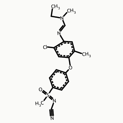 CCN(C)C=Nc1cc(C)c(Oc2ccc(S(C)(=O)=NC#N)cc2)cc1Cl